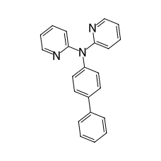 c1ccc(-c2ccc(N(c3ccccn3)c3ccccn3)cc2)cc1